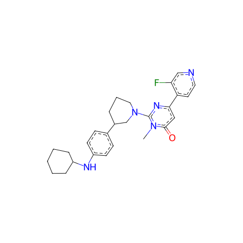 Cn1c(N2CCCC(c3ccc(NC4CCCCC4)cc3)C2)nc(-c2ccncc2F)cc1=O